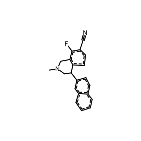 CN1Cc2c(ccc(C#N)c2F)C(c2ccc3ccccc3c2)C1